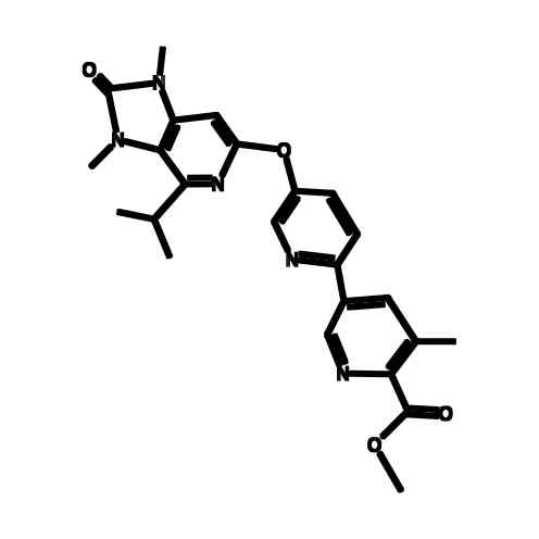 COC(=O)c1ncc(-c2ccc(Oc3cc4c(c(C(C)C)n3)n(C)c(=O)n4C)cn2)cc1C